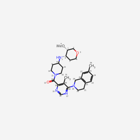 CO[C@@H]1COCC[C@@H]1NC1CCN(C(=O)c2ncnc(N3CCc4ccc(C)cc4C3)c2C)CC1